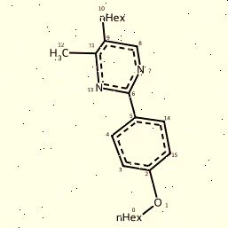 CCCCCCOc1ccc(-c2ncc(CCCCCC)c(C)n2)cc1